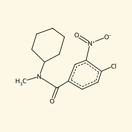 CN(C(=O)c1ccc(Cl)c([N+](=O)[O-])c1)C1CCCCC1